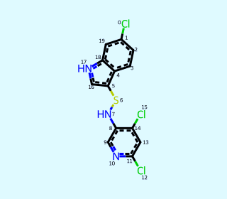 Clc1ccc2c(SNc3cnc(Cl)cc3Cl)c[nH]c2c1